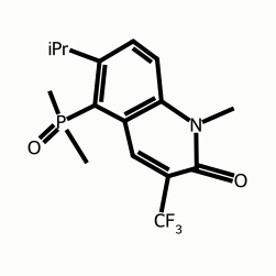 CC(C)c1ccc2c(cc(C(F)(F)F)c(=O)n2C)c1P(C)(C)=O